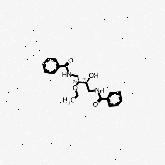 CCO[C@H](CNC(=O)c1ccccc1)[C@@H](O)CNC(=O)c1ccccc1